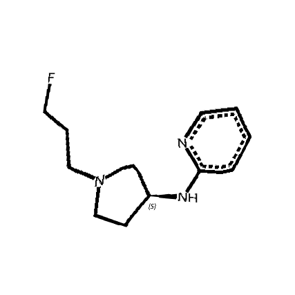 FCCCN1CC[C@H](Nc2ccccn2)C1